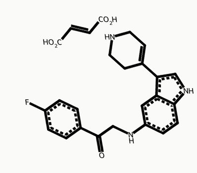 O=C(CNc1ccc2[nH]cc(C3=CCNCC3)c2c1)c1ccc(F)cc1.O=C(O)C=CC(=O)O